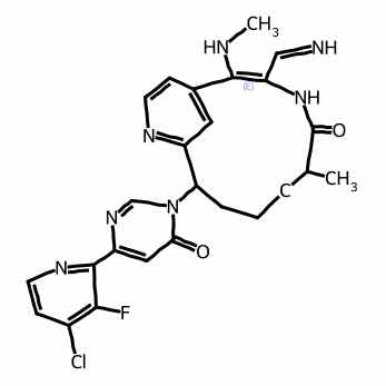 CN/C1=C(\C=N)NC(=O)C(C)CCCC(n2cnc(-c3nccc(Cl)c3F)cc2=O)c2cc1ccn2